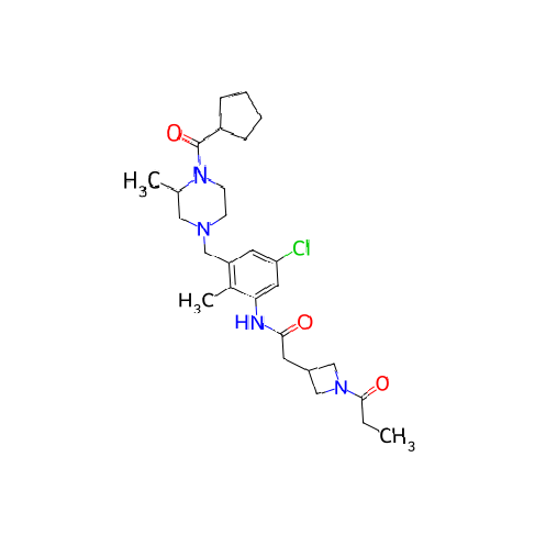 CCC(=O)N1CC(CC(=O)Nc2cc(Cl)cc(CN3CCN(C(=O)C4CCCC4)C(C)C3)c2C)C1